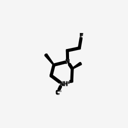 [CH2-][NH+]1C[C@@H](C)N(CCF)[C@@H](C)C1